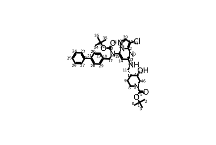 CC(C)(C)OC(=O)N1CC[C@H](CNc2cc(N(Cc3ccc(-c4ccccc4)cc3)C(=O)OC(C)(C)C)n3ncc(Cl)c3n2)[C@@H](O)C1